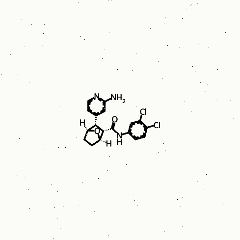 Nc1cc([C@@H]2[C@H](C(=O)Nc3ccc(Cl)c(Cl)c3)[C@H]3CC[C@@H]2O3)ccn1